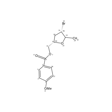 COc1ccc(C(=O)OC[C@@H]2C[C@H](Br)C(C)O2)cc1